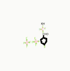 F[B-](F)(F)F.F[B-](F)(F)F.F[B-](F)(F)F.O=Cc1ccc(F)cc1.[KH]